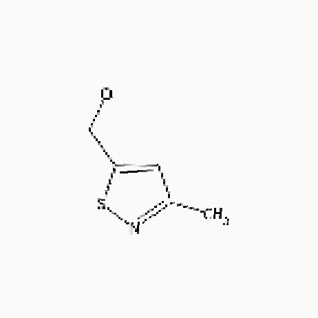 Cc1cc(C[O])sn1